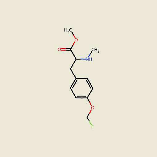 CNC(Cc1ccc(OCF)cc1)C(=O)OC